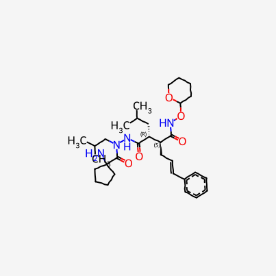 CC(C)C[C@@H](C(=O)NN(CC(C)C)C(=O)C1(N)CCCC1)[C@H](CC=Cc1ccccc1)C(=O)NOC1CCCCO1